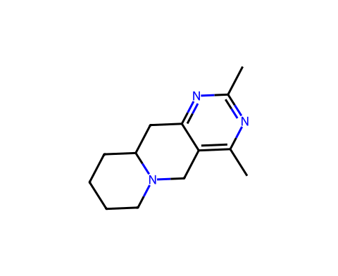 Cc1nc(C)c2c(n1)CC1CCCCN1C2